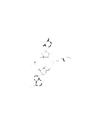 CC(C)OC(=O)OCSP1(=O)OC[C@H]2O[C@@H](n3cnc4c(N)ncnc43)[C@H](OP(=O)(O)OC[C@H]3O[C@@H](n4ccc(=O)[nH]c4=O)[C@H](F)C3O1)[C@@H]2F